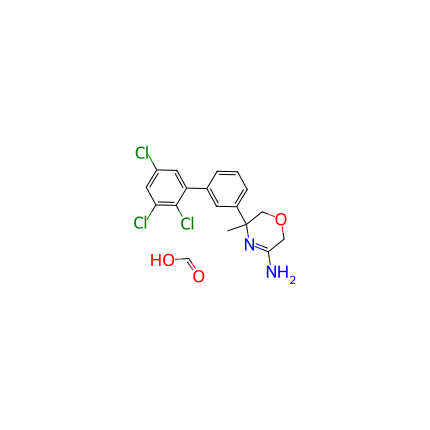 CC1(c2cccc(-c3cc(Cl)cc(Cl)c3Cl)c2)COCC(N)=N1.O=CO